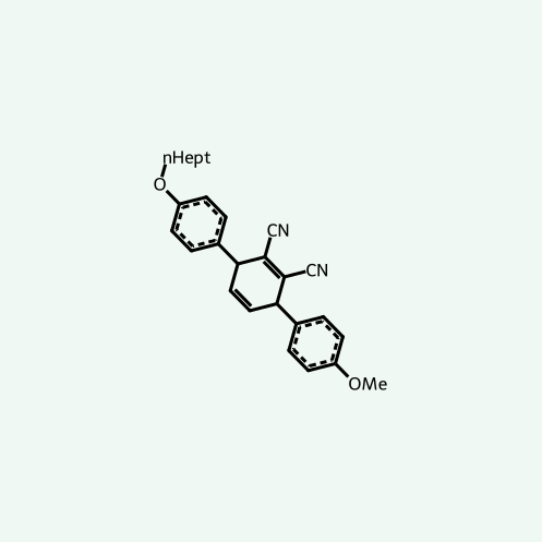 CCCCCCCOc1ccc(C2C=CC(c3ccc(OC)cc3)C(C#N)=C2C#N)cc1